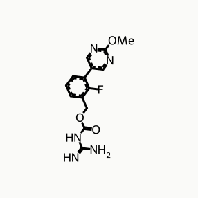 COc1ncc(-c2cccc(COC(=O)NC(=N)N)c2F)cn1